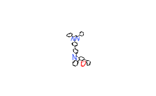 c1ccc(-c2cc(-c3ccccc3)nc(-c3ccc(-c4ccc(-c5nc6ccccc6c6c5ccc5c7ccccc7oc56)cc4)cc3)n2)cc1